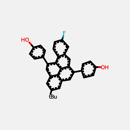 CC(C)(C)c1cc2cc(-c3ccc(O)cc3)c3cc4cc(F)ccc4c4c(-c5ccc(O)cc5)cc(c1)c2c34